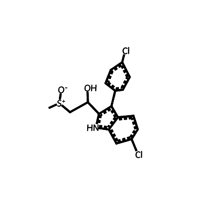 C[S+]([O-])CC(O)c1[nH]c2cc(Cl)ccc2c1-c1ccc(Cl)cc1